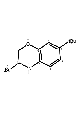 CC(C)(C)c1ccc2c(c1)OCC(C(C)(C)C)N2